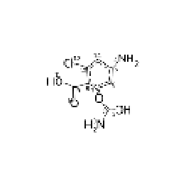 NC(=O)O.Nc1ccc(C(=O)O)c(Cl)c1